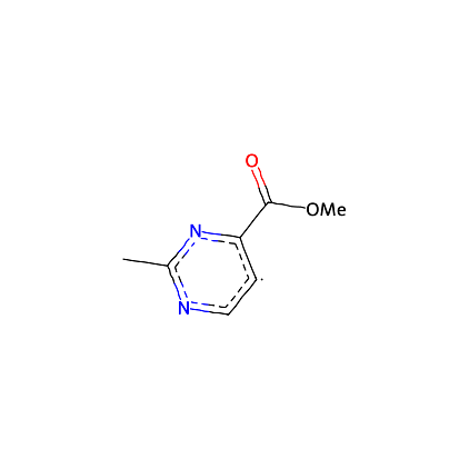 COC(=O)c1[c]cnc(C)n1